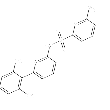 Cc1cccc(C)c1-c1cccc(NS(=O)(=O)c2cccc(N)n2)n1